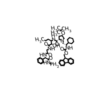 CCCC(NC(=O)[C@@H]1C[C@@H](OC(C)(C)C)CN1C[C@@H](NC(=O)OCC1c2ccccc2-c2ccccc21)C1CCCCC1)C(O)C(=O)NCC(=O)N[C@H](C(=O)NP)c1ccccc1